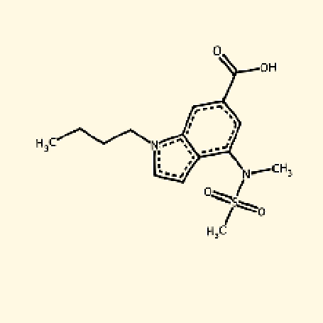 CCCCn1ccc2c(N(C)S(C)(=O)=O)cc(C(=O)O)cc21